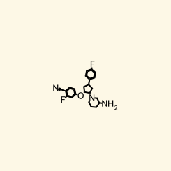 N#Cc1ccc(OC2CC(c3ccc(F)cc3)CC2N2CCCC(N)C2)cc1F